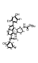 CCc1cc(O)c(F)cc1-c1cc2c(N[C@H]3CC[C@H](NC(=O)OC(C)(C)C)CC3)c(C(N)=Nc3cc(F)ccc3Cl)cnn2c1